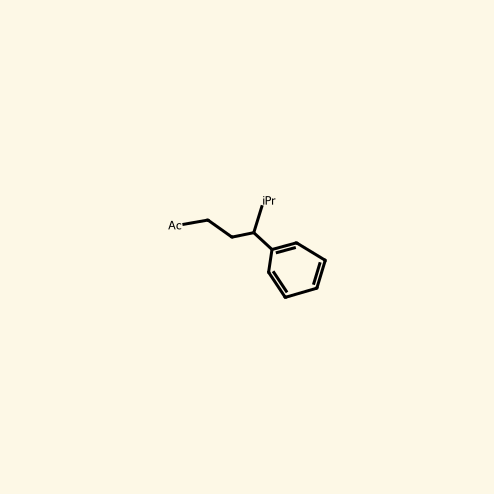 CC(=O)CCC(c1ccccc1)C(C)C